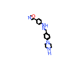 C(=NNc1ccc(-c2cnco2)cc1)c1ccc(N2CCNCC2)cc1